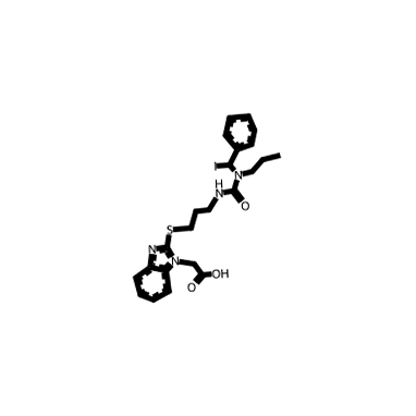 CCCN(C(=O)NCCCSc1nc2ccccc2n1CC(=O)O)C(I)c1ccccc1